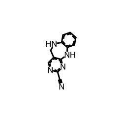 N#Cc1ncc2c(n1)Nc1ccccc1NC2